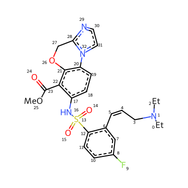 CCN(CC)C/C=C\c1cc(F)ccc1S(=O)(=O)Nc1ccc2c(c1C(=O)OC)OCc1nccn1-2